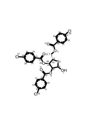 O=C(OC[C@@H]1SC(O)C(OC(=O)c2ccc(Cl)cc2)[C@H]1OC(=O)c1ccc(Cl)cc1)c1ccc(Cl)cc1